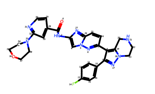 O=C(Nc1cn2nc(-c3c(-c4ccc(F)cc4)nn4c3CNCC4)ccc2n1)c1ccnc(N2CCOCC2)c1